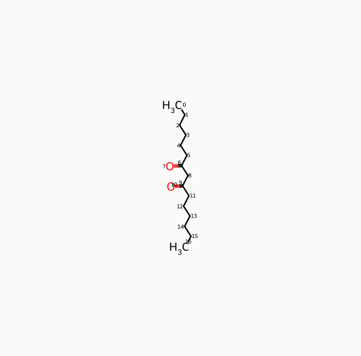 CCCCCCC(=O)CC(=O)CCCCCC